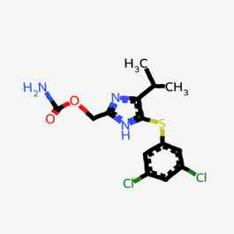 CC(C)c1nc(COC(N)=O)[nH]c1Sc1cc(Cl)cc(Cl)c1